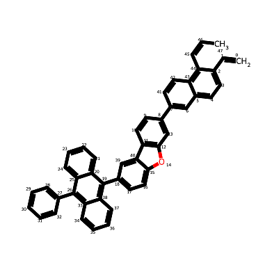 C=Cc1ccc2cc(-c3ccc4c(c3)oc3ccc(-c5c6ccccc6c(-c6ccccc6)c6ccccc56)cc34)ccc2c1/C=C\C